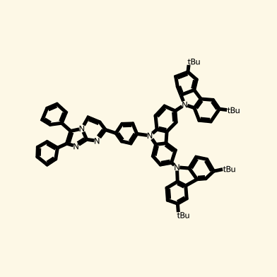 CC(C)(C)c1ccc2c(c1)c1cc(C(C)(C)C)ccc1n2-c1ccc2c(c1)c1cc(-n3c4ccc(C(C)(C)C)cc4c4cc(C(C)(C)C)ccc43)ccc1n2-c1ccc(-c2ccn3c(-c4ccccc4)c(-c4ccccc4)nc3n2)cc1